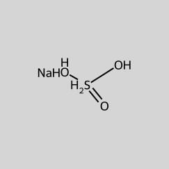 O=[SH2](O)O.[NaH]